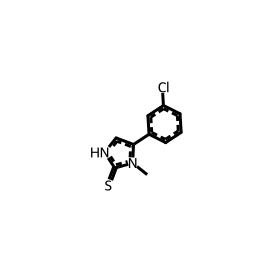 Cn1c(-c2cccc(Cl)c2)c[nH]c1=S